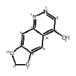 Oc1cnnc2cc3c(cc12)OCO3